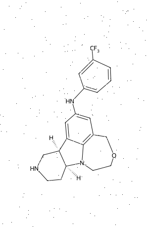 FC(F)(F)c1cccc(Nc2cc3c4c(c2)[C@@H]2CNCC[C@@H]2N4CCOC3)c1